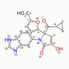 O=C(O)c1ccc(C2(C(=O)C3CC3)C=C(O)C(=O)N2c2ccc3[nH]cnc3c2)o1